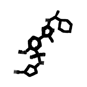 COc1ccc(-c2sc(N[C@@H](C)C3CCCCC3)nc2C)cc1S(=O)(=O)NC1CCC(O)C1